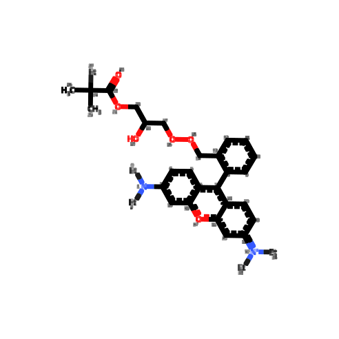 CCN(CC)c1ccc2c(-c3ccccc3COOCC(O)COC(=O)C(C)(C)CC)c3ccc(=[N+](CC)CC)cc-3oc2c1